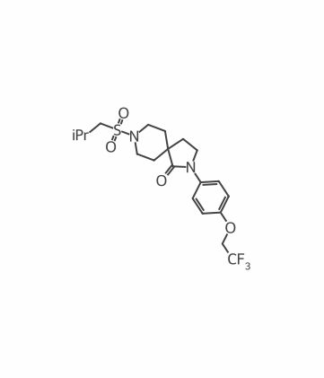 CC(C)CS(=O)(=O)N1CCC2(CCN(c3ccc(OCC(F)(F)F)cc3)C2=O)CC1